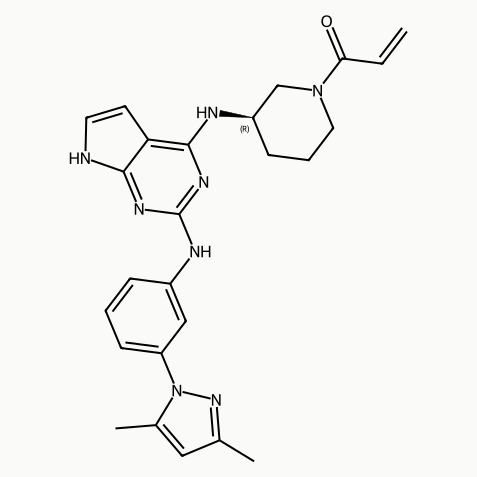 C=CC(=O)N1CCC[C@@H](Nc2nc(Nc3cccc(-n4nc(C)cc4C)c3)nc3[nH]ccc23)C1